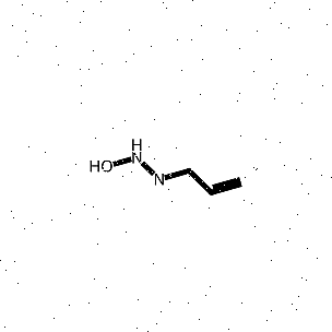 C=CC[N]NO